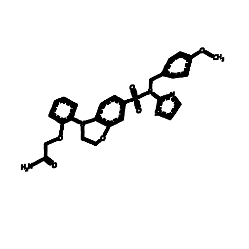 COc1ccc(CN(c2nccs2)S(=O)(=O)c2ccc3c(c2)OCCN3c2ccccc2OCC(N)=O)cc1